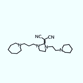 N#CC(C#N)=C1N(CCCN2CCCCCC2)CCN1CCN1CCCCC1